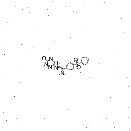 C[C@H](NC1=NN(C)C(=O)N(C)C1)[C@H](c1ccc(S(=O)(=O)c2ccccc2)cc1)N(C)C